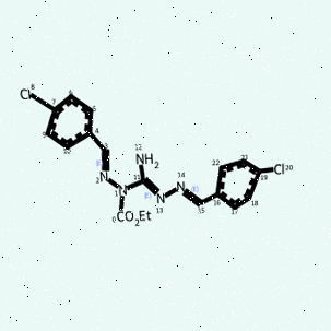 CCOC(=O)N(/N=C/c1ccc(Cl)cc1)/C(N)=N/N=C/c1ccc(Cl)cc1